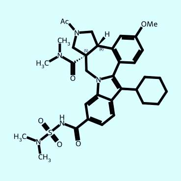 COc1ccc2c(c1)[C@H]1CN(C(C)=O)C[C@]1(C(=O)N(C)C)Cn1c-2c(C2CCCCC2)c2ccc(C(=O)NS(=O)(=O)N(C)C)cc21